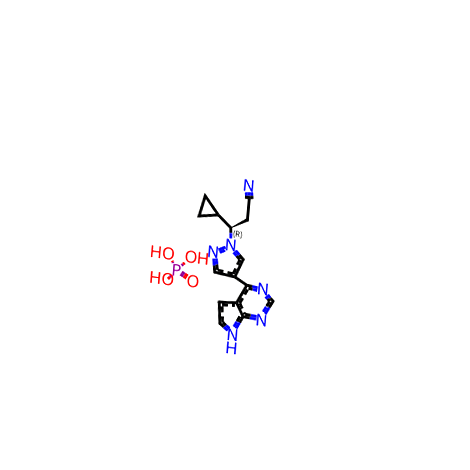 N#CC[C@H](C1CC1)n1cc(-c2ncnc3[nH]ccc23)cn1.O=P(O)(O)O